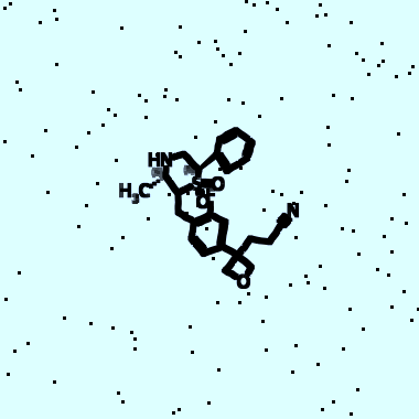 C[C@@H]1NC[C@@H](c2ccccc2)S(=O)(=O)C1Cc1ccc(C2(CCC#N)COC2)cc1F